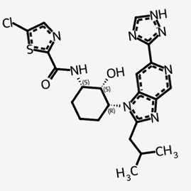 CC(C)Cc1nc2cnc(-c3nc[nH]n3)cc2n1[C@@H]1CCC[C@H](NC(=O)c2ncc(Cl)s2)[C@@H]1O